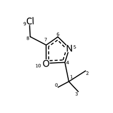 CC(C)(C)c1ncc(CCl)o1